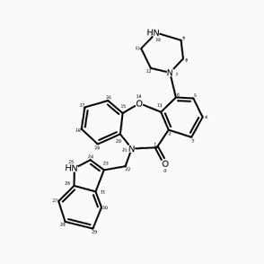 O=C1c2cccc(N3CCNCC3)c2Oc2ccccc2N1Cc1c[nH]c2ccccc12